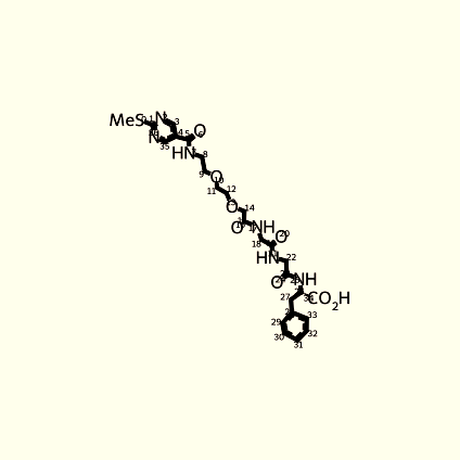 CSc1ncc(C(=O)NCCOCCOCC(=O)NCC(=O)NCC(=O)N[C@@H](Cc2ccccc2)C(=O)O)cn1